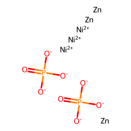 O=P([O-])([O-])[O-].O=P([O-])([O-])[O-].[Ni+2].[Ni+2].[Ni+2].[Zn].[Zn].[Zn]